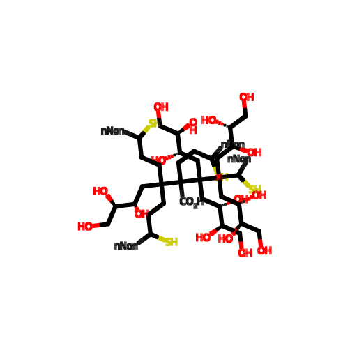 CCCCCCCCCC(S)CCC(CCC(S)CCCCCCCCC)(C[C@H](O)[C@H](O)CO)C(CCC(S)CCCCCCCCC)(C(=O)O)C(C[C@H](O)[C@H](O)CO)(C[C@H](O)[C@H](O)CO)C(C[C@H](O)[C@H](O)CO)(C[C@H](O)[C@H](O)CO)C(S)CCCCCCCCC